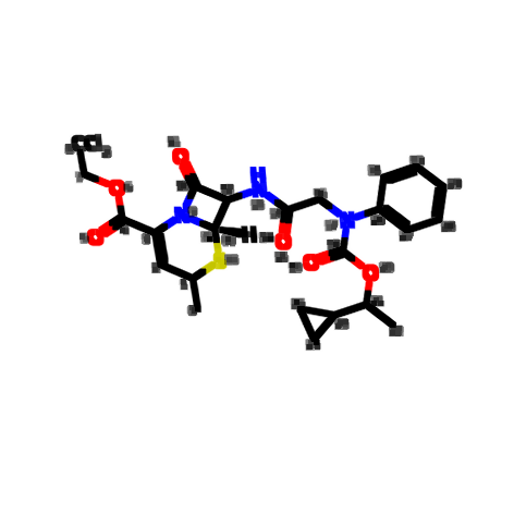 CC1C=C(C(=O)OCC(Cl)(Cl)Cl)N2C(=O)C(NC(=O)CN(C(=O)OC(C)C3CC3)c3ccccc3)[C@@H]2S1